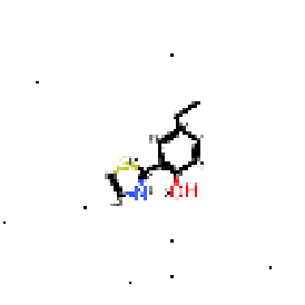 CCc1ccc(O)c(-c2nccs2)c1